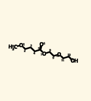 COCCCC(=O)OCCOCCO